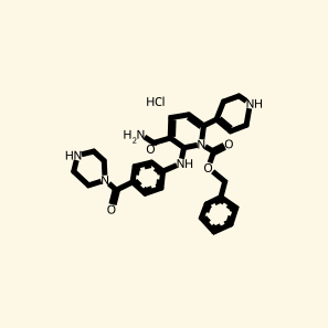 Cl.NC(=O)C1=CC=C(C2=CCNCC2)N(C(=O)OCc2ccccc2)C1Nc1ccc(C(=O)N2CCNCC2)cc1